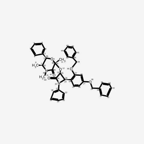 C[C@H]1[C@@H](c2ccccc2)O[C@](C)(O[C@@H]2C(=O)N(c3ccccc3)[C@@H]2c2ccc(OCc3ccccc3)cc2OCc2ccccc2)C(=O)N1C